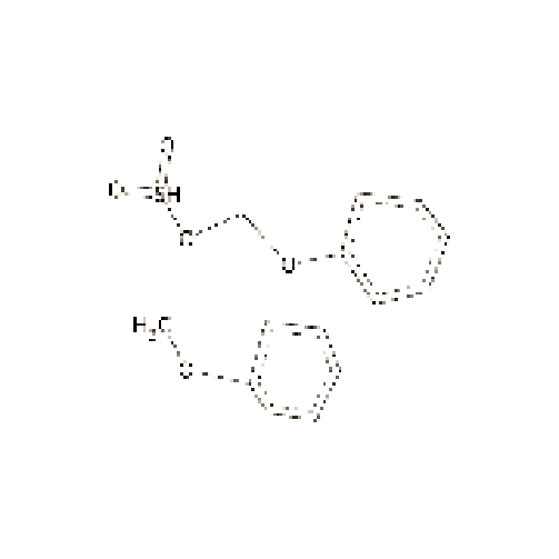 COc1ccccc1.O=[SH](=O)OCOc1ccccc1